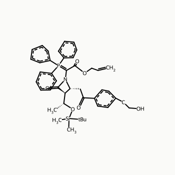 C=CCOC(=O)C(N1C(=O)[C@H]([C@@H](C)O[Si](C)(C)C(C)(C)C)[C@H]1CC(=O)c1ccc(CCO)cc1)=P(c1ccccc1)(c1ccccc1)c1ccccc1